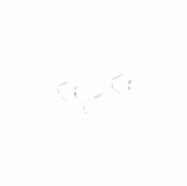 OC(C#Cc1ccccc1Cl)c1cccnc1